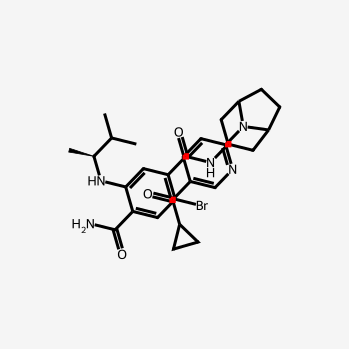 CC(C)[C@H](C)Nc1cc(C(=O)NC2CC3CCC(C2)N3c2ccc(C(=O)C3CC3)cn2)c(Br)cc1C(N)=O